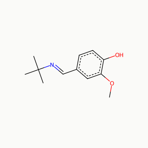 COc1cc(C=NC(C)(C)C)ccc1O